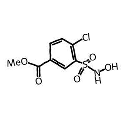 COC(=O)c1ccc(Cl)c(S(=O)(=O)NO)c1